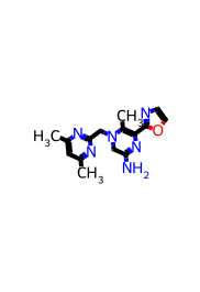 CC1=C(c2ncco2)N=C(N)CN1Cc1nc(C)cc(C)n1